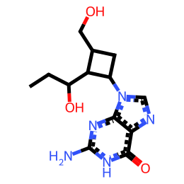 CCC(O)C1C(CO)CC1n1cnc2c(=O)[nH]c(N)nc21